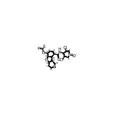 O=C(Nc1c(Cl)c[n+]([O-])cc1Cl)c1ccc(OC(F)F)c2oc3ccncc3c12